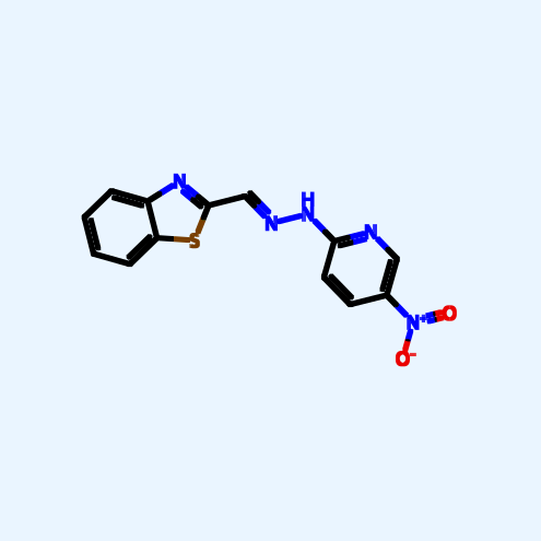 O=[N+]([O-])c1ccc(NN=Cc2nc3ccccc3s2)nc1